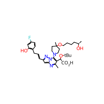 Cc1nc2cc(C=CCc3ccc(F)cc3O)nn2c(N2CCC(C)(OCCCC[C@@H](C)O)CC2)c1C(OC(C)(C)C)C(=O)O